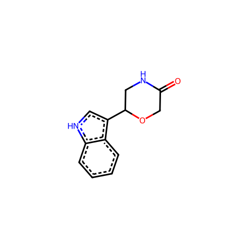 O=C1COC(c2c[nH]c3ccccc23)CN1